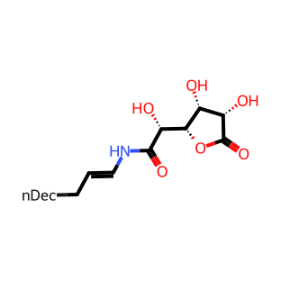 CCCCCCCCCCCC=CNC(=O)[C@H](O)[C@H]1OC(=O)[C@@H](O)[C@H]1O